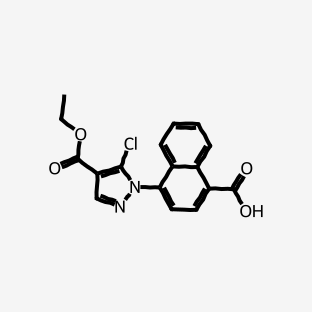 CCOC(=O)c1cnn(-c2ccc(C(=O)O)c3ccccc23)c1Cl